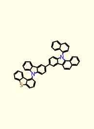 c1ccc2c(-n3c4ccc(-c5ccc6c(c5)c5ccccc5n6-c5cccc6sc7ccccc7c56)cc4c4ccc5ccccc5c43)cccc2c1